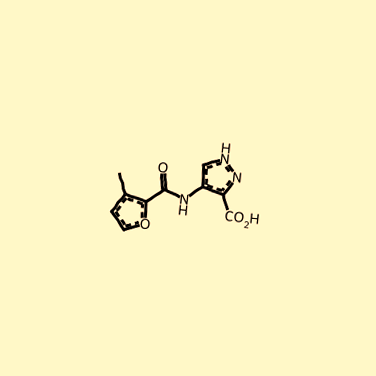 Cc1ccoc1C(=O)Nc1c[nH]nc1C(=O)O